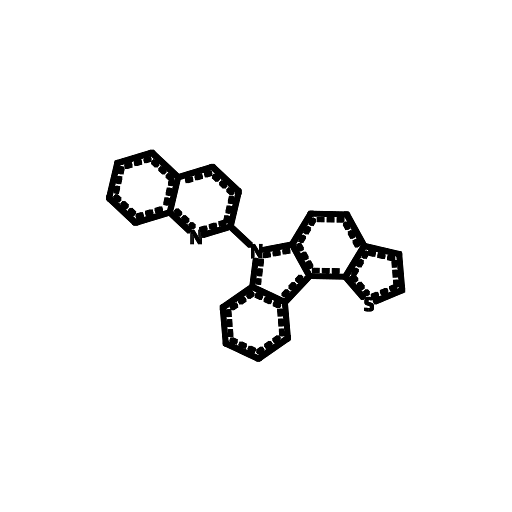 c1ccc2nc(-n3c4ccccc4c4c5sccc5ccc43)ccc2c1